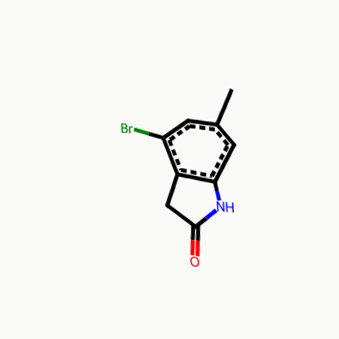 Cc1cc(Br)c2c(c1)NC(=O)C2